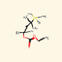 C=COC(=O)OC(C)(C)CC(C)(C)S(C)(C)C(C)C